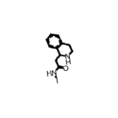 O=C(CC1NCCc2ccccc21)NI